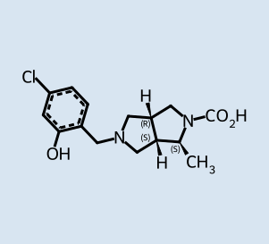 C[C@H]1[C@@H]2CN(Cc3ccc(Cl)cc3O)C[C@@H]2CN1C(=O)O